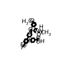 CNC(=O)N1C[C@@H](C(=O)N2CCC(c3ccc(C(F)(F)F)cc3N3CCC(C(=O)O)CC3)CC2)[C@H](c2ccc(OC)cc2)C1